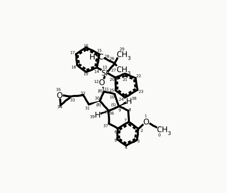 COc1cccc2c1C[C@H]1C[C@@H](O[Si](c3ccccc3)(c3ccccc3)C(C)(C)C)[C@H](CCC3CO3)[C@H]1C2